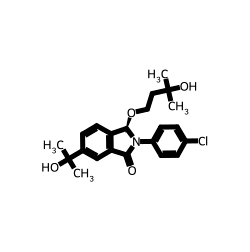 CC(C)(O)CCO[C@@H]1c2ccc(C(C)(C)O)cc2C(=O)N1c1ccc(Cl)cc1